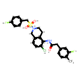 O=C(Cc1ccc(C(F)(F)F)c(F)c1)Nc1c(Cl)ccc2c1CCN(S(=O)(=O)Cc1ccc(F)cc1)C2